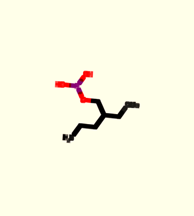 BCCC(COC)COP(O)O